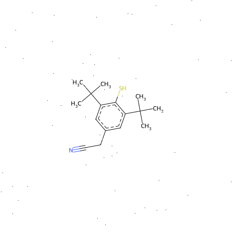 CC(C)(C)c1cc(CC#N)cc(C(C)(C)C)c1S